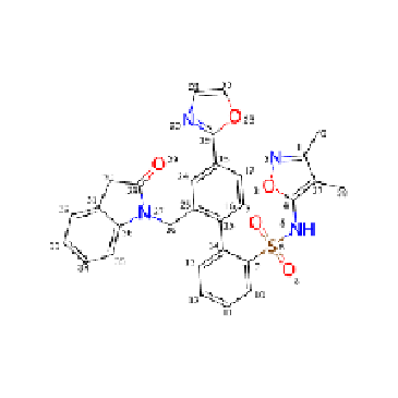 Cc1noc(NS(=O)(=O)c2ccccc2-c2ccc(-c3ncco3)cc2CN2C(=O)Cc3ccccc32)c1C